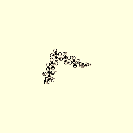 O=S(=O)([O-])[O-].O=S(=O)([O-])[O-].O=S(=O)([O-])[O-].O=S(=O)([O-])[O-].O=S(=O)([O-])[O-].[Fe+2].[Fe+2].[Fe+3].[Fe+3]